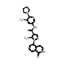 O=C(Nc1cnc(N2CCCC2)c(C(F)(F)F)c1)c1cnn(-c2cccc3c(=O)[nH]ccc23)c1C(F)(F)F